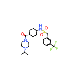 CC(C)N1CCN(C(=O)[C@H]2CC[C@H](NS(=O)(=O)Cc3cccc(C(F)(F)F)c3)CC2)CC1